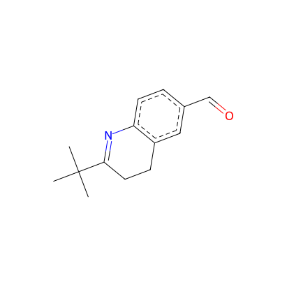 CC(C)(C)C1=Nc2ccc(C=O)cc2CC1